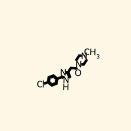 CN1CCN(C(=O)Cc2c[nH]c(-c3ccc(Cl)cc3)n2)CC1